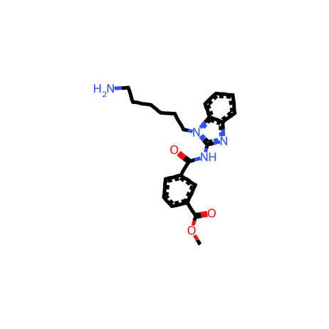 COC(=O)c1cccc(C(=O)Nc2nc3ccccc3n2CCCCCCN)c1